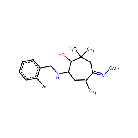 CO/N=C1\CC(C)(C)C(O)C(NCc2ccccc2C(C)=O)C=C1C